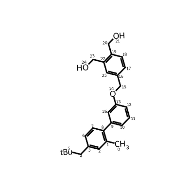 Cc1cc(CC(C)(C)C)ccc1-c1cccc(OCc2ccc(CO)c(CO)c2)c1